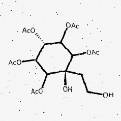 CC(=O)OC1C(OC(C)=O)[C@](O)(CCO)C(OC(C)=O)C(OC(C)=O)[C@@H]1OC(C)=O